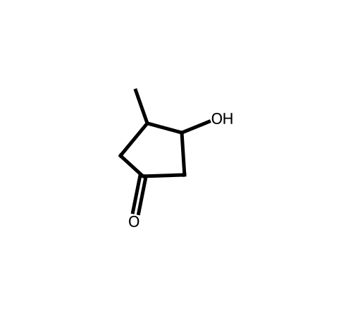 CC1CC(=O)CC1O